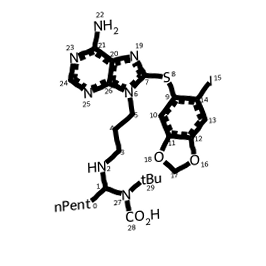 CCCCCC(NCCCn1c(Sc2cc3c(cc2I)OCO3)nc2c(N)ncnc21)N(C(=O)O)C(C)(C)C